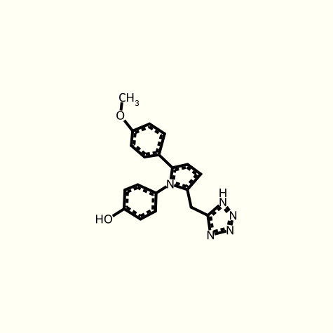 COc1ccc(-c2ccc(Cc3nnn[nH]3)n2-c2ccc(O)cc2)cc1